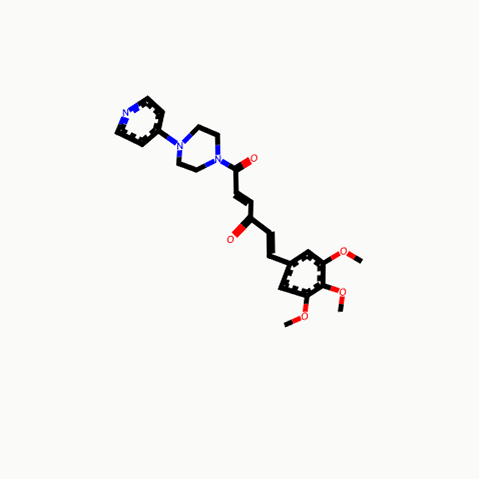 COc1cc(/C=C/C(=O)/C=C/C(=O)N2CCN(c3ccncc3)CC2)cc(OC)c1OC